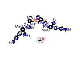 CCn1cc(-c2cc(Nc3ncc(Br)c(Nc4ccc5nccnc5c4CP(C)OP(C)Cc4c(Nc5nc(Nc6cc(-c7cnn(CC)c7)c(N7CCN(C8CCN(C9CNC9)CC8)CC7)cc6OC)ncc5Br)ccc5nccnc45)n3)c(OC)cc2N2CCN(C3CCN(C4CNC4)CC3)CC2)cn1.O=C(O)C(F)(F)F